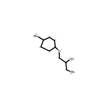 CC(C)(C)CC(O)COC1CCC(C(C)(C)C)CC1